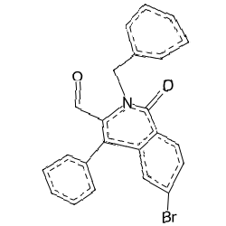 O=Cc1c(-c2ccccc2)c2cc(Br)ccc2c(=O)n1Cc1ccccc1